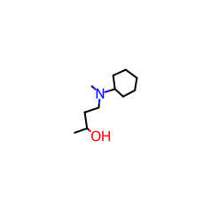 CC(O)CCN(C)C1CCCCC1